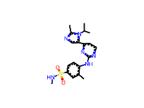 CNS(=O)(=O)c1ccc(Nc2nccc(-c3cnc(C)n3C(C)C)n2)c(C)c1